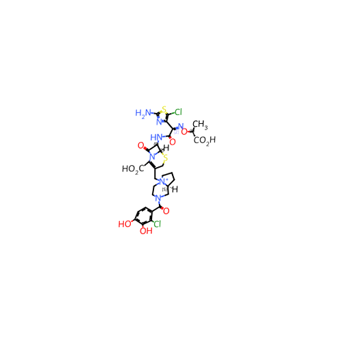 C[C@H](O/N=C(\C(=O)N[C@@H]1C(=O)N2C(C(=O)O)=C(C[N+]34CCC[C@H]3CN(C(=O)c3ccc(O)c(O)c3Cl)CC4)CS[C@H]12)c1nc(N)sc1Cl)C(=O)O